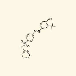 CC(C)(C)c1cc(/N=N/c2ccc(S(=O)(=O)Nc3ccccn3)cc2)ccc1O